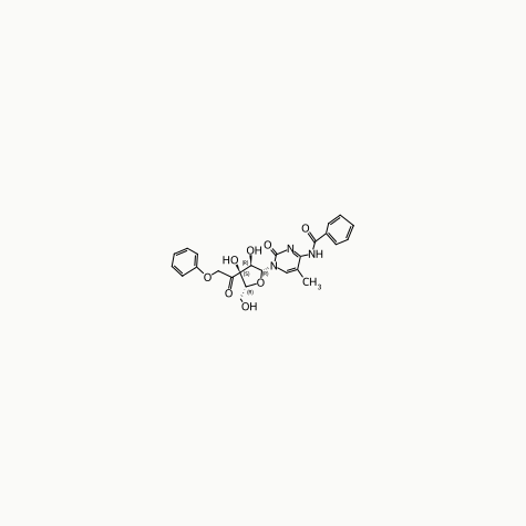 Cc1cn([C@@H]2O[C@H](CO)[C@](O)(C(=O)COc3ccccc3)[C@H]2O)c(=O)nc1NC(=O)c1ccccc1